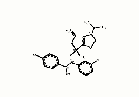 C=CC[C@@](C)(C[C@H](c1cccc(Cl)c1)[C@@H](O)c1ccc(Cl)cc1)C1=N[C@@H](C(C)C)CO1